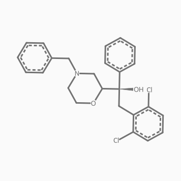 O[C@](Cc1c(Cl)cccc1Cl)(c1ccccc1)C1CN(Cc2ccccc2)CCO1